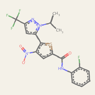 CC(C)n1nc(C(F)(F)F)cc1-c1sc(C(=O)Nc2ccccc2F)cc1[N+](=O)[O-]